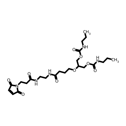 CCCNC(=O)OCC(COC(=O)NCCC)OCCCC(=O)NCCNC(=O)CCN1C(=O)C=CC1=O